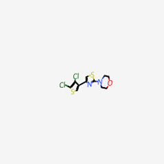 Clc1scc(-c2csc(N3CCOCC3)n2)c1Cl